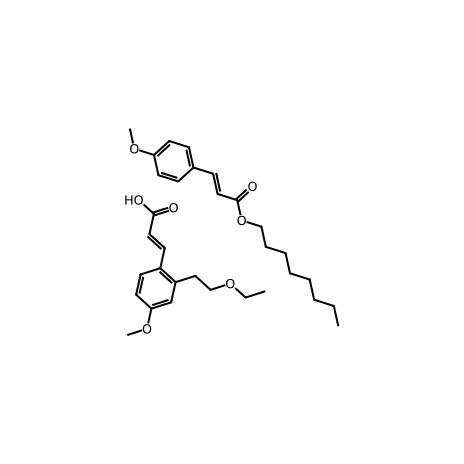 CCCCCCCCOC(=O)C=Cc1ccc(OC)cc1.CCOCCc1cc(OC)ccc1C=CC(=O)O